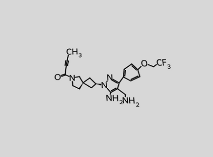 CC#CC(=O)N1CC[C@]2(C1)C[C@H](n1nc(-c3ccc(OCC(F)(F)F)cc3)c(CN)c1N)C2